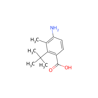 Cc1c(N)ccc(C(=O)O)c1C(C)(C)C